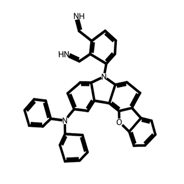 N=Cc1cccc(-n2c3ccc(N(c4ccccc4)c4ccccc4)cc3c3c4oc5ccccc5c4ccc32)c1C=N